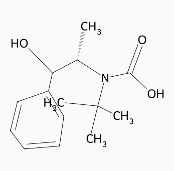 C[C@@H](C(O)c1ccccc1)N(C(=O)O)C(C)(C)C